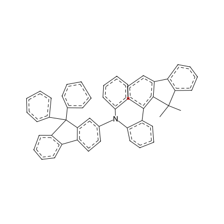 CC1(C)c2ccccc2-c2cccc(-c3ccccc3N(c3ccccc3)c3ccc4c(c3)C(c3ccccc3)(c3ccccc3)c3ccccc3-4)c21